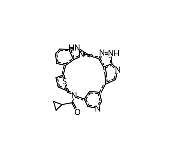 O=C(C1CC1)n1c2cncc(c2)c2cnc3[nH]nc(c4nc5c(cccc5c5ccc1s5)[nH]4)c3c2